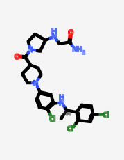 C[C@@H](Nc1cc(N2CCC(C(=O)N3CCC(NCC(N)=O)C3)CC2)ccc1Cl)c1ccc(Cl)cc1Cl